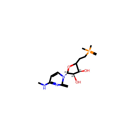 C=C1N=C(NC)C=CN1[C@@H]1OC(CCP(=C)(C)C)[C@@H](O)[C@H]1O